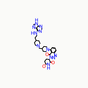 O=C1CCC(n2nnc3cccc(N4CCC(CN5CCC(CCNc6ncnc7[nH]cnc67)CC5)CC4)c3c2=O)C(=O)N1